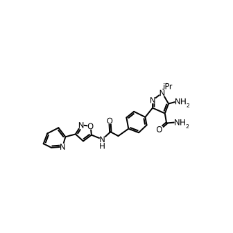 CC(C)n1nc(-c2ccc(CC(=O)Nc3cc(-c4ccccn4)no3)cc2)c(C(N)=O)c1N